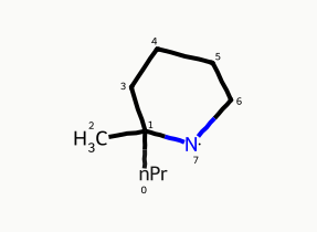 CCCC1(C)CCCC[N]1